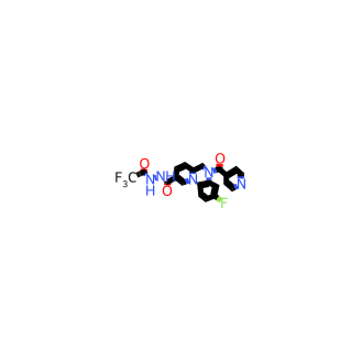 O=C(NNC(=O)C(F)(F)F)c1ccc(CN(C(=O)c2ccncc2)c2cccc(F)c2)nc1